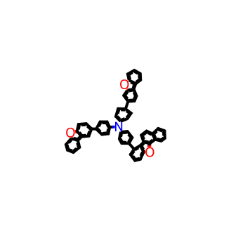 c1ccc2c(c1)ccc1c2oc2cccc(-c3ccc(N(c4ccc(-c5ccc6c(c5)oc5ccccc56)cc4)c4ccc(-c5ccc6oc7ccccc7c6c5)cc4)cc3)c21